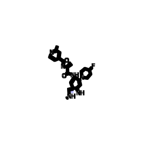 CN/C=C1/C=C(NC(=O)c2coc(-c3ccnc(C)c3)n2)C(N2CCC(F)CC2)=CC1=N